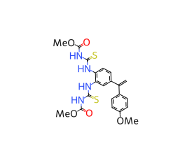 C=C(c1ccc(OC)cc1)c1ccc(NC(=S)NC(=O)OC)c(NC(=S)NC(=O)OC)c1